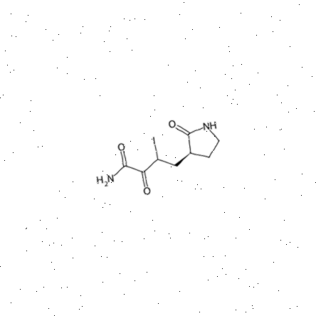 NC(=O)C(=O)C(I)C[C@@H]1CCNC1=O